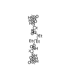 CCC(CCOC(=O)N(C)C1CC(C)(C)CC(C)(CNC(=O)Nc2nc(=O)cc(C)[nH]2)C1)CCC(CC)CC(CC)CCOC(=O)NC1CC(C)(C)CC(C)(CNC(=O)Nc2nc(=O)cc(C)[nH]2)C1